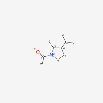 CC(=O)N1CCC(C(C)C)C1C